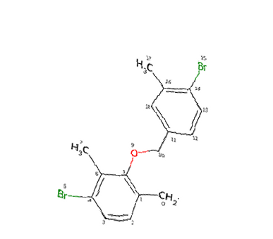 [CH2]c1ccc(Br)c(C)c1OCc1ccc(Br)c(C)c1